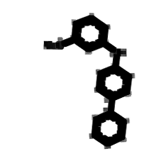 COc1cccc(Nc2ccc(-c3ccccc3)cc2)c1